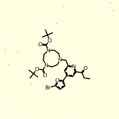 CCC(=O)c1cc(-c2ccc(Br)o2)cc(CN2CCN(C(=O)OC(C)(C)C)CCN(C(=O)OC(C)(C)C)CC2)n1